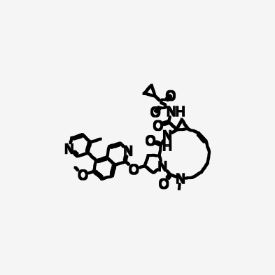 COc1ccc2c(OC3CC4C(=O)NC5(C(=O)NS(=O)(=O)C6CC6)CC5/C=C\CCCCN(C)C(=O)N4C3)nccc2c1-c1cnccc1C